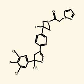 O=C(Cn1cccn1)N1CC(F)(c2ccc(C3=NOC(c4cc(Cl)c(F)c(Cl)c4)(C(F)(F)F)C3)cc2)C1